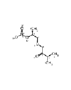 CC(C)C(=O)COC[C@H](C)O[N+](=O)[O-]